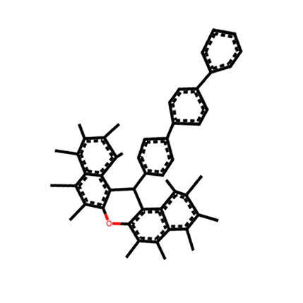 Cc1c(C)c(C)c2c3c(c(C)c(C)c2c1C)Oc1c(C)c(C)c2c(C)c(C)c(C)c(C)c2c1C3c1ccc(-c2ccc(-c3ccccc3)cc2)cc1